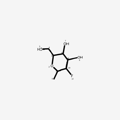 CC1OC(CO)C(O)C(O)C1F